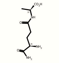 C[C@H](NC(=O)CC[C@@H](N)C(N)=O)C(=O)O